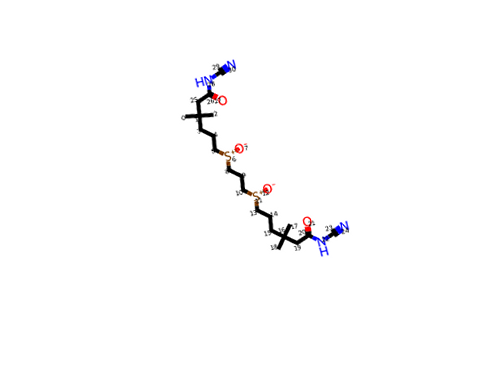 CC(C)(CCC[S+]([O-])CCC[S+]([O-])CCCC(C)(C)CC(=O)NC#N)CC(=O)NC#N